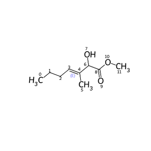 CCC/C=C(\C)C(O)C(=O)OC